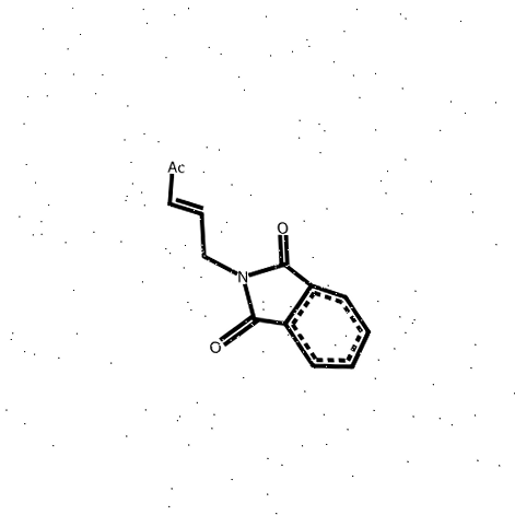 CC(=O)/C=C/CN1C(=O)c2ccccc2C1=O